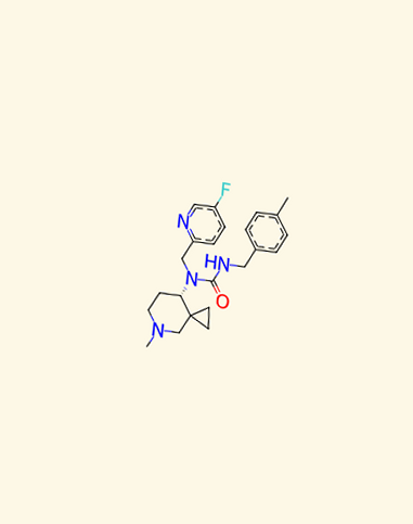 Cc1ccc(CNC(=O)N(Cc2ccc(F)cn2)[C@H]2CCN(C)CC23CC3)cc1